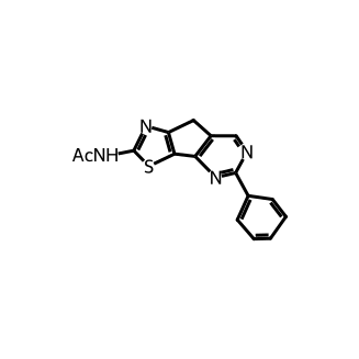 CC(=O)Nc1nc2c(s1)-c1nc(-c3ccccc3)ncc1C2